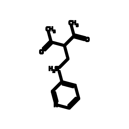 CC(=O)C(C[SiH2]c1cccnc1)C(C)=O